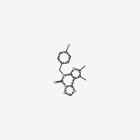 Cc1oc2c(c1C)c1ncnn1c(=O)n2Cc1ccc(Cl)cc1